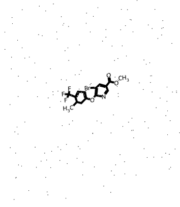 COC(=O)c1cnc(OC2=CC=C(C(F)(F)F)C(C)C2)c(Br)c1